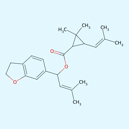 CC(C)=CC(OC(=O)C1C(C=C(C)C)C1(C)C)c1ccc2c(c1)OCC2